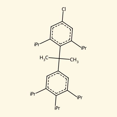 CC(C)c1cc(C(C)(C)c2c(C(C)C)cc(Cl)cc2C(C)C)cc(C(C)C)c1C(C)C